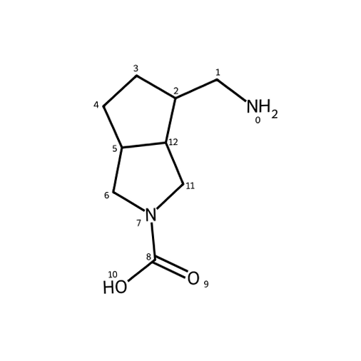 NCC1CCC2CN(C(=O)O)CC12